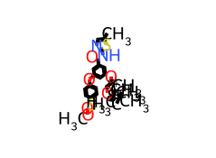 COOSc1ccc(Oc2cc(O[C@@H](C)CO[Si](C)(C)C(C)(C)C)cc(C(=O)Nc3ncc(C)s3)c2)cc1